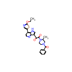 CCOc1ncc(-c2ccnc3c(C(=O)C(=O)N4CCN(C(=O)c5ccccc5)CC4C)c[nH]c23)s1